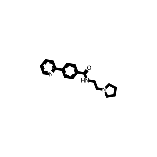 O=C(NCCN1CCCC1)c1ccc(-c2ccccn2)cc1